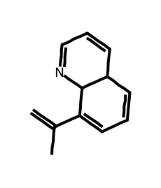 C=C(C)C1=CC=CC2C=CC=NC12